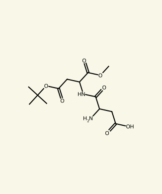 COC(=O)C(CC(=O)OC(C)(C)C)NC(=O)C(N)CC(=O)O